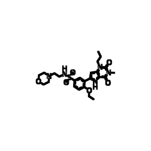 CCCn1c(=O)n(C)c(=O)c2[nH]c(-c3cc(S(=O)(=O)NCCN4CCOCC4)ccc3OCC)cc21